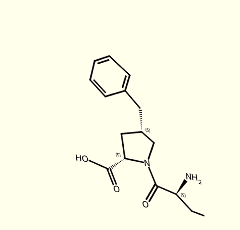 CC[C@H](N)C(=O)N1C[C@@H](Cc2ccccc2)C[C@H]1C(=O)O